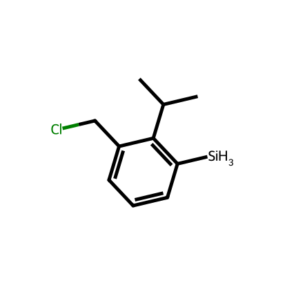 CC(C)c1c([SiH3])cccc1CCl